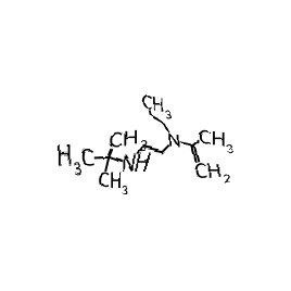 C=C(C)N(CCC)CCNC(C)(C)C